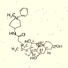 C[C@H](CCC(=O)NC1CC[N+](C)(c2ccccc2)CC1)[C@H]1CC[C@H]2[C@@H]3[C@H](O)C[C@@H]4C[C@H](O)CC[C@]4(C)[C@H]3C[C@H](O)[C@]12C